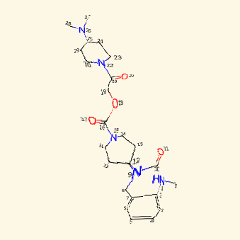 CNc1ccccc1CN(C=O)C1CCN(C(=O)OCC(=O)N2CCC(N(C)C)CC2)CC1